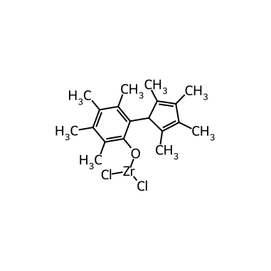 CC1=C(C)C(c2c(C)c(C)c(C)c(C)c2[O][Zr]([Cl])[Cl])C(C)=C1C